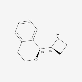 c1ccc2c(c1)CCO[C@@H]2[C@@H]1CCN1